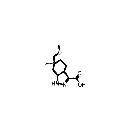 COC[C@]1(C)CCC2C(C(=O)O)=NNC2C1